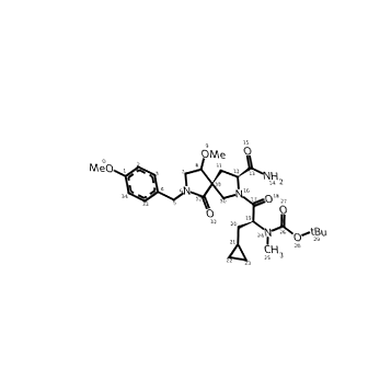 COc1ccc(CN2CC(OC)[C@@]3(C[C@@H](C(N)=O)N(C(=O)[C@H](CC4CC4)N(C)C(=O)OC(C)(C)C)C3)C2=O)cc1